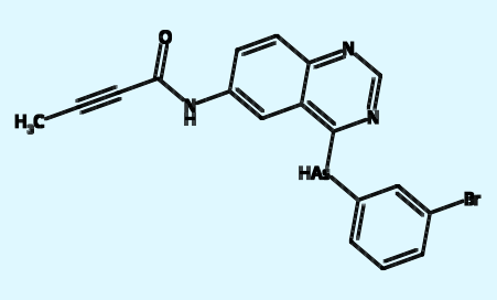 CC#CC(=O)Nc1ccc2ncnc([AsH]c3cccc(Br)c3)c2c1